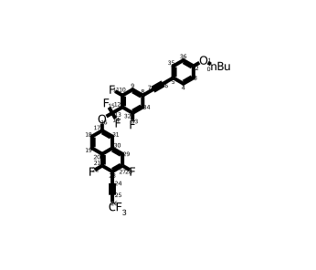 CCCCOc1ccc(C#Cc2cc(F)c(C(F)(F)Oc3ccc4c(F)c(C#CC(F)(F)F)c(F)cc4c3)c(F)c2)cc1